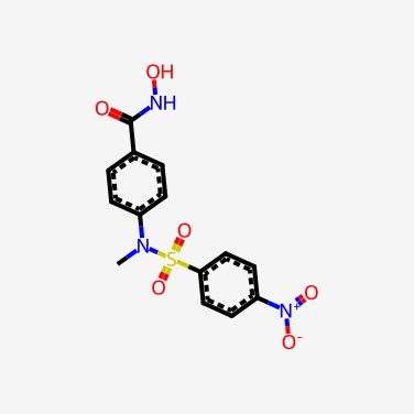 CN(c1ccc(C(=O)NO)cc1)S(=O)(=O)c1ccc([N+](=O)[O-])cc1